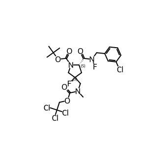 CN(C[C@@]1(F)C[C@@H](C(=O)N(F)Cc2cccc(Cl)c2)N(C(=O)OC(C)(C)C)C1)C(=O)OCC(Cl)(Cl)Cl